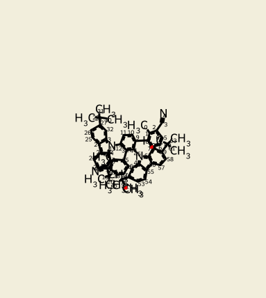 Cc1c(C#N)cccc1-c1ccc(-n2c3cc(C(C)(C)C)ccc3c3ccc(C(C)(C)C)cc32)c(-c2cccc(C#N)c2C)c1-n1c2cc(C(C)(C)C)ccc2c2ccc(C(C)(C)C)cc21